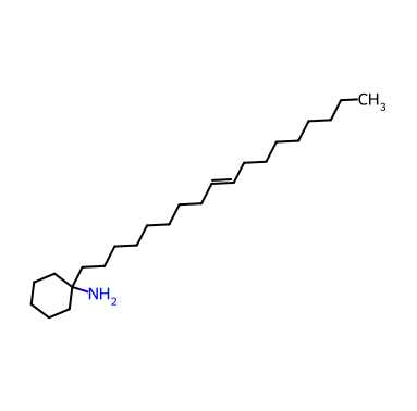 CCCCCCCCC=CCCCCCCCCC1(N)CCCCC1